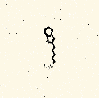 CCCCCCC1=Cc2ccccc2[N]1